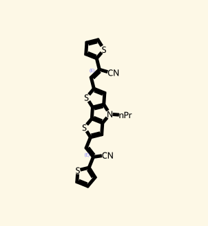 CCCn1c2cc(/C=C(\C#N)c3cccs3)sc2c2sc(/C=C(\C#N)c3cccs3)cc21